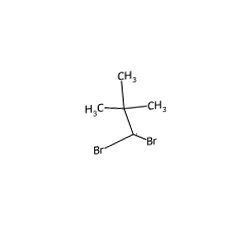 CC(C)(C)[C](Br)Br